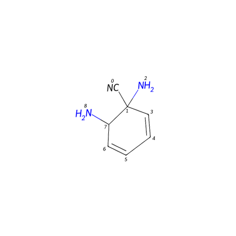 N#CC1(N)C=CC=CC1N